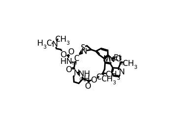 CCn1c(-c2cccnc2[C@H](C)OC)c2c3cc(ccc31)C1CSC(=N1)C[C@H](NC(=O)OCCN(C)C)C(=O)N1CCC[C@H](N1)C(=O)OCC(C)(C)C2